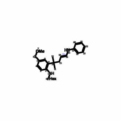 CCCCCCNc1ccc(SOC)cc1C(C)(C)C/C=C/Nc1ccccc1